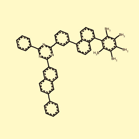 Bc1c(B)c(B)c(-c2cccc3c(-c4cccc(-c5nc(-c6ccccc6)nc(-c6ccc7cc(-c8ccccc8)ccc7c6)n5)c4)cccc23)c(B)c1B